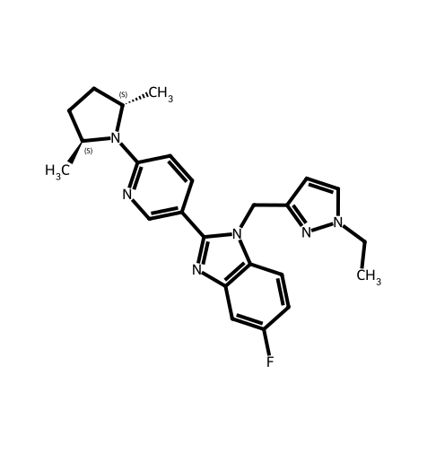 CCn1ccc(Cn2c(-c3ccc(N4[C@@H](C)CC[C@@H]4C)nc3)nc3cc(F)ccc32)n1